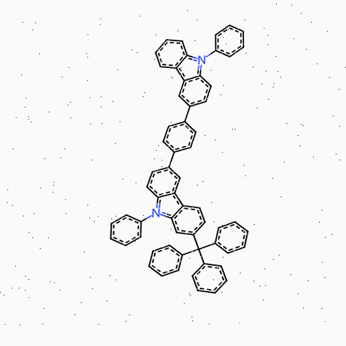 c1ccc(-n2c3ccccc3c3cc(-c4ccc(-c5ccc6c(c5)c5ccc(C(c7ccccc7)(c7ccccc7)c7ccccc7)cc5n6-c5ccccc5)cc4)ccc32)cc1